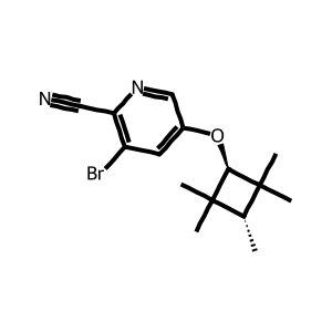 CC1(C)[C@H](C)C(C)(C)[C@H]1Oc1cnc(C#N)c(Br)c1